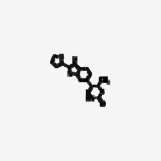 CC1SC(=O)NN=C1c1ccc2[nH]c(-c3cccs3)nc2c1